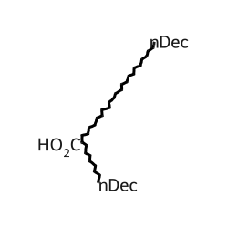 CCCCCCCCCCCCCCCCCCCCCCCCCCCCCCCCC(CCCCCCCCCCCCCCCCCC)C(=O)O